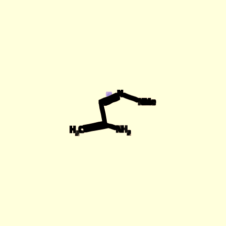 C=C(N)/C=N\NC